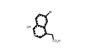 O=C(O)Cc1cncc2ccc(Br)cc12.[LiH]